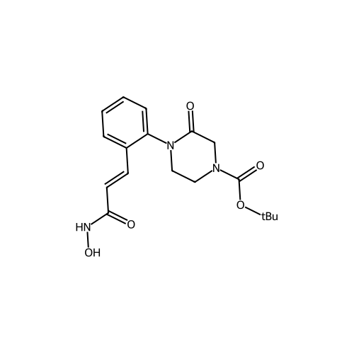 CC(C)(C)OC(=O)N1CCN(c2ccccc2/C=C/C(=O)NO)C(=O)C1